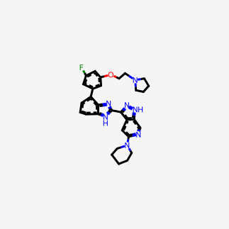 Fc1cc(OCCN2CCCC2)cc(-c2cccc3[nH]c(-c4n[nH]c5cnc(N6CCCCC6)cc45)nc23)c1